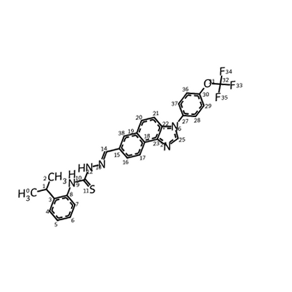 CC(C)c1ccccc1NC(=S)N/N=C/c1ccc2c(ccc3c2ncn3-c2ccc(OC(F)(F)F)cc2)c1